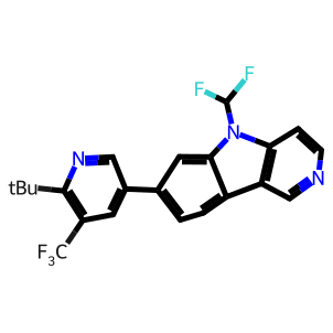 CC(C)(C)c1ncc(-c2ccc3c4cnccc4n(C(F)F)c3c2)cc1C(F)(F)F